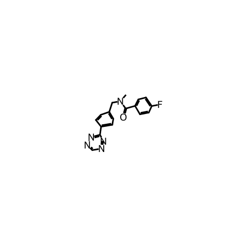 CN(Cc1ccc(-c2nncnn2)cc1)C(=O)c1ccc(F)cc1